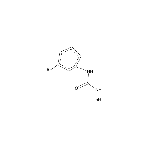 CC(=O)c1cccc(NC(=O)NS)c1